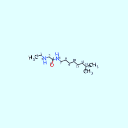 CCNCC(=O)NCCCCCCC(C)C